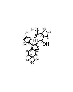 Cc1csc(-c2c(NC(O)C3=C(C(=O)O)CCC3)sc3c2CCC2(COC2)C3)n1